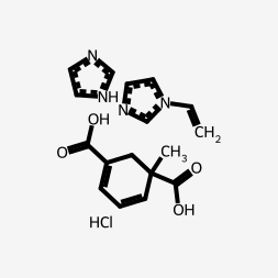 C=Cn1ccnc1.CC1(C(=O)O)C=CC=C(C(=O)O)C1.Cl.c1c[nH]cn1